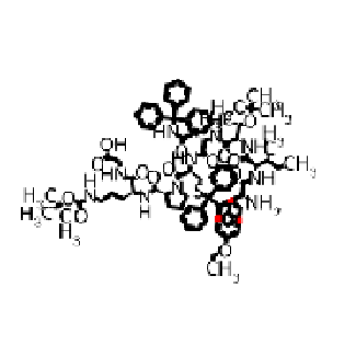 CCOc1ccc(C[C@@H](N)C(=O)N[C@H](C(=O)N[C@H](C(=O)N[C@@H](CC(=O)NC(c2ccccc2)(c2ccccc2)c2ccccc2)C(=O)N[C@@H](CSC(c2ccccc2)(c2ccccc2)c2ccccc2)C(=O)N2CCC[C@H]2C(=O)N[C@@H](CCCNC(=O)OC(C)(C)C)C(=O)NCC(=O)O)[C@@H](C)OC(C)(C)C)[C@@H](C)CC)cc1